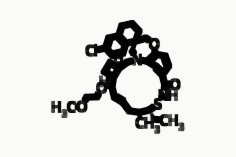 CC[C@H]1SNC(=O)c2ccc3c(c2)N(C[C@@H]2CC[C@H]2[C@@H](OCCOC)/C=C/C[C@@H]1C)C[C@@]1(CCCc2cc(Cl)ccc21)CO3